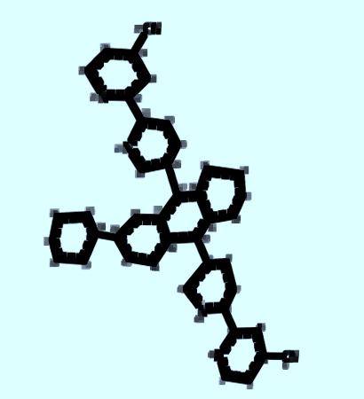 N#Cc1ccnc(-c2ccc(-c3c4ccccc4c(-c4ccc(-c5cc(C#N)ccn5)nc4)c4cc(-c5ccccc5)ccc34)cn2)c1